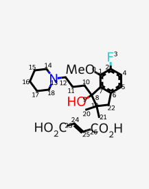 COc1c(F)ccc2c1C(O)(CCCN1CCCCC1)C(C)(C)C2.O=C(O)C=CC(=O)O